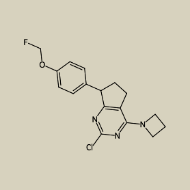 FCOc1ccc(C2CCc3c2nc(Cl)nc3N2CCC2)cc1